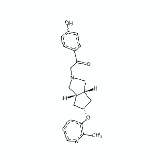 Cc1ncccc1O[C@@H]1C[C@@H]2CN(CC(=O)c3ccc(O)cc3)C[C@@H]2C1